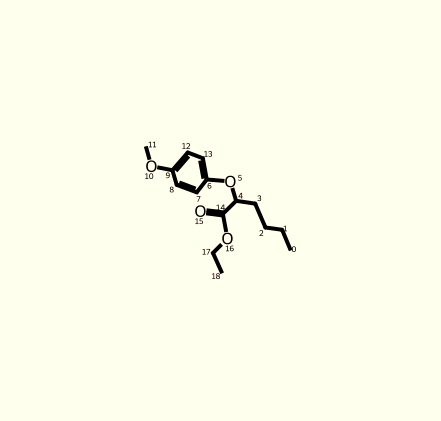 CCCCC(Oc1ccc(OC)cc1)C(=O)OCC